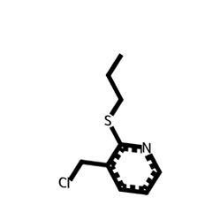 CCCSc1ncccc1CCl